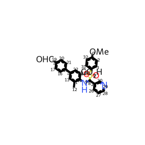 COc1ccc(S(=O)(=O)C(Nc2c(C)cc(-c3ccc(C=O)cc3)cc2C(=O)O)c2cccnc2)cc1